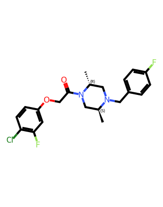 C[C@@H]1CN(Cc2ccc(F)cc2)[C@@H](C)CN1C(=O)COc1ccc(Cl)c(F)c1